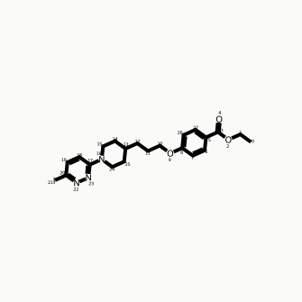 CCOC(=O)c1ccc(OCCCC2CCN(c3ccc(I)nn3)CC2)cc1